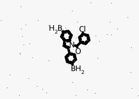 Bc1ccc2c(c1)OC(c1cccc(Cl)c1)n1c-2cc2cc(B)ccc21